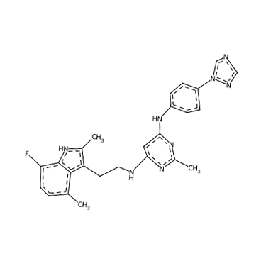 Cc1nc(NCCc2c(C)[nH]c3c(F)ccc(C)c23)cc(Nc2ccc(-n3cncn3)cc2)n1